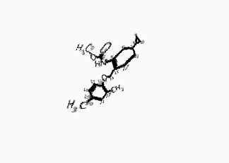 COC(=O)Nc1cc(C2CC2)ccc1COc1ccc(C)cc1C